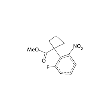 COC(=O)C1(c2c(F)cccc2[N+](=O)[O-])CCC1